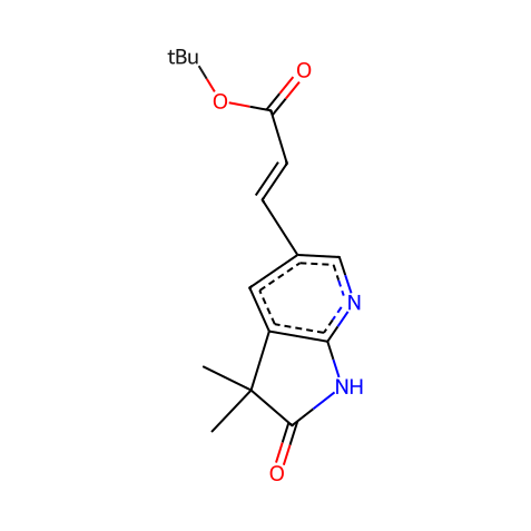 CC(C)(C)OC(=O)C=Cc1cnc2c(c1)C(C)(C)C(=O)N2